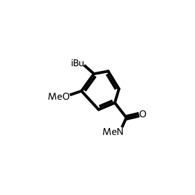 CCC(C)c1ccc(C(=O)NC)cc1OC